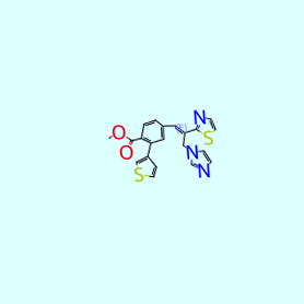 COC(=O)c1ccc(/C=C(\Cn2ccnc2)c2nccs2)cc1-c1ccsc1